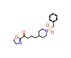 O=C(CCCC1CCN(S(=O)(=O)Cc2ccccc2)CC1)C1=NCCO1